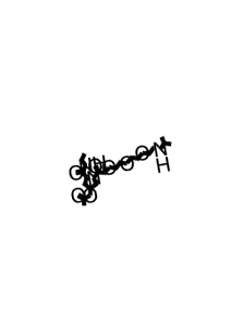 CCNC(=O)C1CC(OC(C)=O)CN1C(=O)COCCOCCOCCNC(C)C